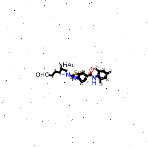 CC(=O)NC(CCCC=O)CNc1nc2ccc(C(=O)Nc3c(C)cc(C)cc3C)cc2s1